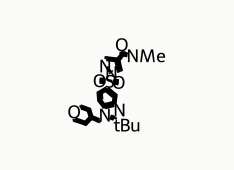 CNC(=O)c1cnn(S(=O)(=O)c2ccc3c(c2)nc(C(C)(C)C)n3CC2CCOCC2)c1